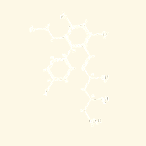 CC(C)OCc1c(C(C)C)nc(C(C)C)c(/C=C/C(O)CC(O)CC(=O)O)c1-c1ccc(F)cc1